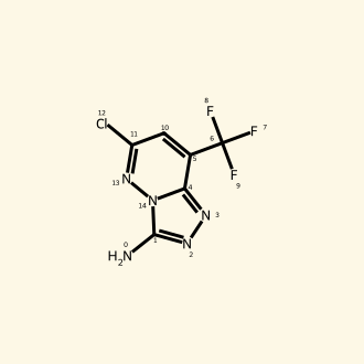 Nc1nnc2c(C(F)(F)F)cc(Cl)nn12